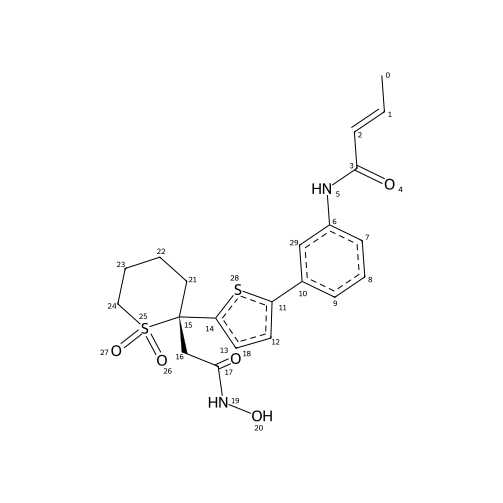 CC=CC(=O)Nc1cccc(-c2ccc([C@@]3(CC(=O)NO)CCCCS3(=O)=O)s2)c1